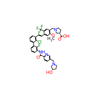 COc1cc(/C=C/c2cccc(-c3cccc(NC(=O)c4ccc(CN5CC[C@@H](O)C5)cn4)c3F)c2Cl)c(C(F)(F)F)cc1CN1CC[C@@H](C(=O)O)C1